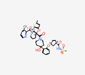 CCC[C@H]1N(C(=O)c2ncccc2C(F)(F)F)CCC[C@@]1(Oc1csc(C)c1)C(=O)N1CCC(O)(c2ccccc2O[C@@H]2CC[C@@H](C(=O)NS(C)(=O)=O)C2)CC1